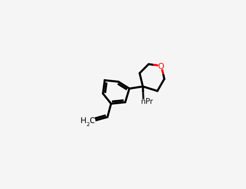 C=Cc1cccc(C2(CCC)CCOCC2)c1